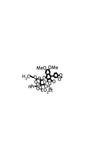 C=CCOC(=O)O[C@H]1C(Oc2c3c(c(-c4ccc5c(c4)OCO5)c4cc(OC)c(OC)cc24)C(=O)OC3)O[C@H](C)[C@@H](OC(=O)OCC)[C@@H]1OC(=O)CCC